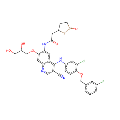 N#Cc1cnc2cc(OCC(O)CO)c(NC(=O)CC3CC[S+]([O-])S3)cc2c1Nc1ccc(OCc2cccc(F)c2)c(Cl)c1